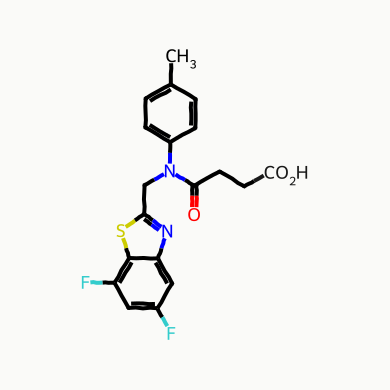 Cc1ccc(N(Cc2nc3cc(F)cc(F)c3s2)C(=O)CCC(=O)O)cc1